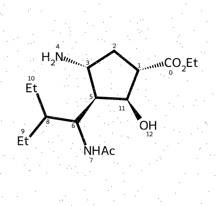 CCOC(=O)[C@H]1C[C@@H](N)[C@H](C(NC(C)=O)C(CC)CC)[C@@H]1O